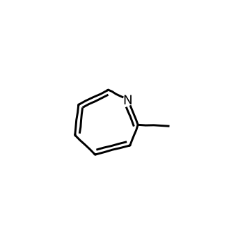 CC1=NC=C=CC=C1